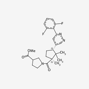 COC(=O)C1CCN(C(=O)[C@@]2(C)CC[C@H](c3cnnc(-c4c(F)cccc4F)c3)C2(C)C)C1